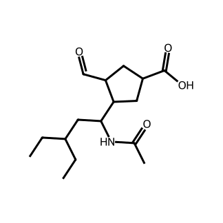 CCC(CC)CC(NC(C)=O)C1CC(C(=O)O)CC1C=O